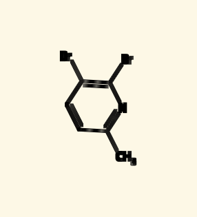 Cc1ccc(Br)c(Br)n1